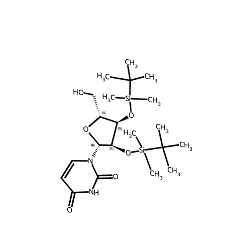 CC(C)(C)[Si](C)(C)O[C@@H]1[C@H](O[Si](C)(C)C(C)(C)C)[C@@H](CO)O[C@H]1n1ccc(=O)[nH]c1=O